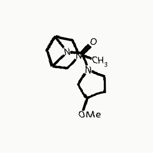 COC1CCN(C(=O)N2C3CC2CN(C)C3)C1